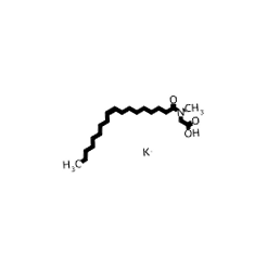 CCCCCCCC/C=C\CCCCCCCC(=O)N(C)CC(=O)O.[K]